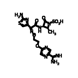 C[C@H]1[C@H](NC(=O)C(=NOCCOc2cnc(C(=N)N)cn2)c2csc(N)n2)C(=O)N1S(=O)(=O)O